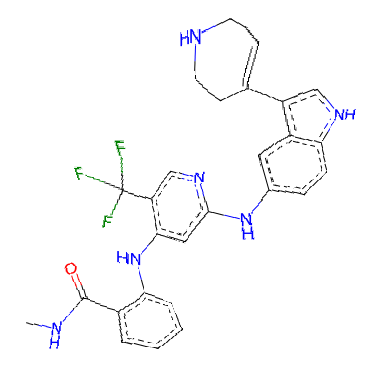 CNC(=O)c1ccccc1Nc1cc(Nc2ccc3[nH]cc(C4=CCNCC4)c3c2)ncc1C(F)(F)F